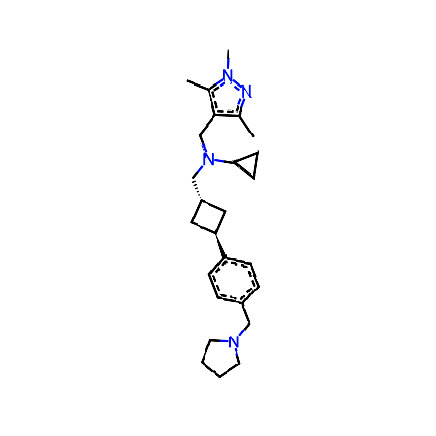 Cc1nn(C)c(C)c1CN(C[C@H]1C[C@H](c2ccc(CN3CCCC3)cc2)C1)C1CC1